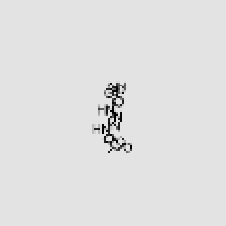 CNS(=O)(=O)c1cccc(Nc2cc(Nc3ccc4c(C)cc(=O)oc4c3)ncn2)c1